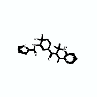 CC(=O)C1(C)CCC(C(=O)C2=C(C)c3ccccc3NC2(C)C)C=C1NC(=O)c1ccco1